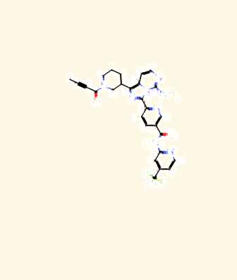 CC#CC(=O)N1CCCC(c2nc(-c3ccc(C(=O)Nc4cc(C(F)(F)F)ccn4)cn3)n3c(N)nccc23)C1